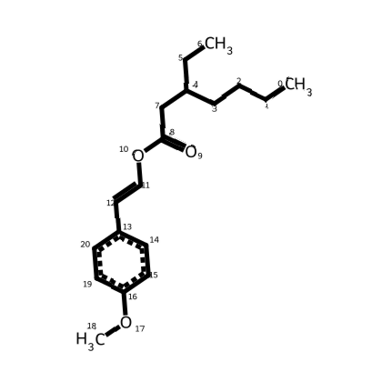 CCCCC(CC)CC(=O)O/C=C/c1ccc(OC)cc1